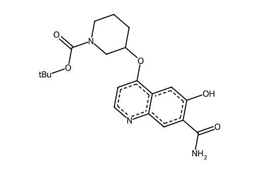 CC(C)(C)OC(=O)N1CCCC(Oc2ccnc3cc(C(N)=O)c(O)cc23)C1